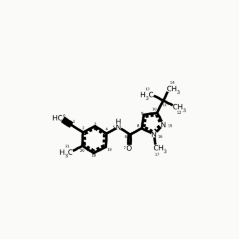 C#Cc1cc(NC(=O)c2cc(C(C)(C)C)nn2C)ccc1C